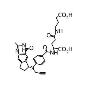 C#CCN(c1ccc(C(=O)N[C@@H](CCC(=O)NCCCC(=O)O)C(=O)O)cc1)C1CCc2cc3nc(C)[nH]c(=O)c3cc21